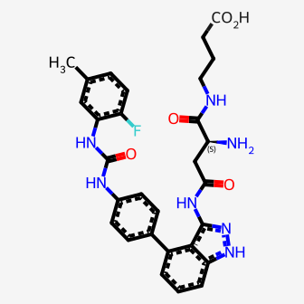 Cc1ccc(F)c(NC(=O)Nc2ccc(-c3cccc4[nH]nc(NC(=O)C[C@H](N)C(=O)NCCCC(=O)O)c34)cc2)c1